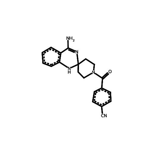 N#Cc1ccc(C(=O)N2CCC3(CC2)N=C(N)c2ccccc2N3)cc1